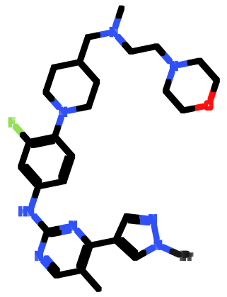 Cc1cnc(Nc2ccc(N3CCC(CN(C)CCN4CCOCC4)CC3)c(F)c2)nc1-c1cnn(C(C)C)c1